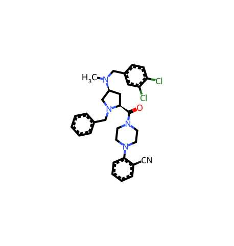 CN(Cc1ccc(Cl)c(Cl)c1)[C@H]1C[C@@H](C(=O)N2CCN(c3ccccc3C#N)CC2)N(Cc2ccccc2)C1